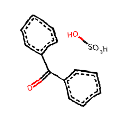 O=C(c1ccccc1)c1ccccc1.O=S(=O)(O)O